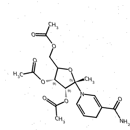 CC(=O)OCC1O[C@](C)(N2C=CCC(C(N)=O)=C2)[C@H](OC(C)=O)[C@@H]1OC(C)=O